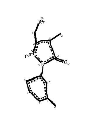 Cc1cccc(-n2[nH]c(CC(C)C)c(C)c2=O)c1